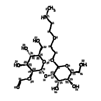 CNCCOCCOC1O[C@@H](CO)[C@@H](O)[C@H](O)[C@@H]1O[C@H]1O[C@H](CO)[C@@H](O)[C@H](O)[C@@H]1OC=O